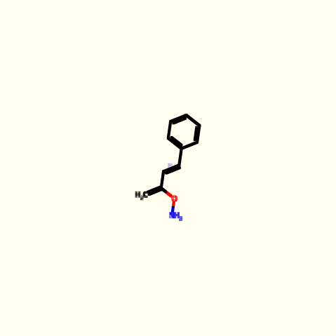 C=C(/C=C/c1ccccc1)ON